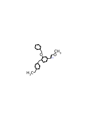 CCc1ccc(Cc2ccc(/C=C/OC)cc2OCc2ccccc2)cc1